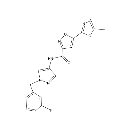 Cc1nnc(-c2cc(C(=O)Nc3cnn(Cc4cccc(F)c4)c3)no2)o1